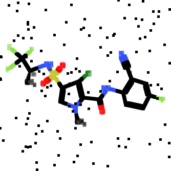 C[C@@H](NS(=O)(=O)c1cn(C)c(C(=O)Nc2ccc(F)cc2C#N)c1Cl)C(F)(F)F